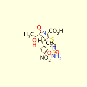 C[C@@H](O)[C@H]1C(=O)N2C(C(=O)O)=C(SC3CN(S(N)(=O)=O)C3)[C@](C)(Cc3ccc([N+](=O)[O-])cc3)[C@H]12